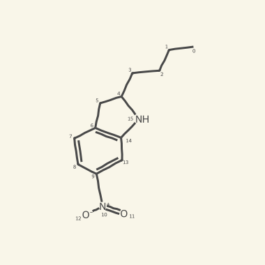 CCCCC1Cc2ccc([N+](=O)[O-])cc2N1